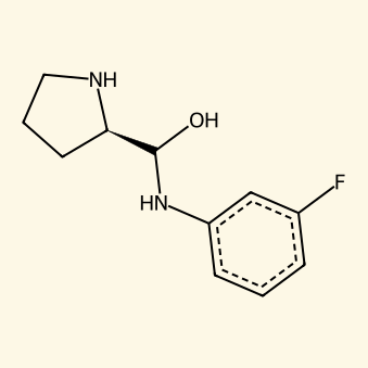 OC(Nc1cccc(F)c1)[C@H]1CCCN1